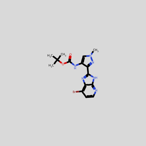 Cn1cc(NC(=O)OC(C)(C)C)c(-c2nc3c(Br)ccnc3[nH]2)n1